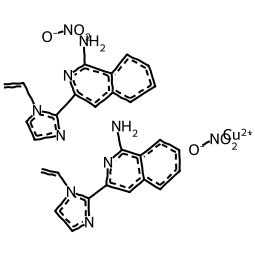 C=Cn1ccnc1-c1cc2ccccc2c(N)n1.C=Cn1ccnc1-c1cc2ccccc2c(N)n1.O=[N+]([O-])[O-].O=[N+]([O-])[O-].[Cu+2]